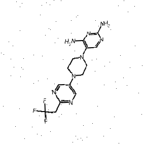 Nc1ncc(N2CCN(c3cnc(CC(F)(F)F)nc3)CC2)c(N)n1